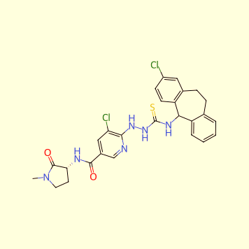 CN1CC[C@@H](NC(=O)c2cnc(NNC(=S)NC3c4ccccc4CCc4cc(Cl)ccc43)c(Cl)c2)C1=O